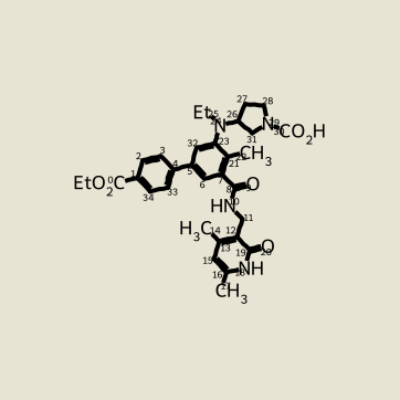 CCOC(=O)c1ccc(-c2cc(C(=O)NCc3c(C)cc(C)[nH]c3=O)c(C)c(N(CC)C3CCN(C(=O)O)C3)c2)cc1